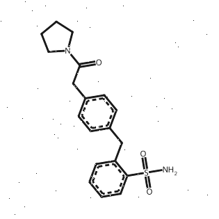 NS(=O)(=O)c1ccccc1Cc1ccc(CC(=O)N2CCCC2)cc1